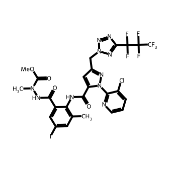 COC(=O)N(C)NC(=O)c1cc(I)cc(C)c1NC(=O)c1cc(Cn2nnc(C(F)(F)C(F)(F)C(F)(F)F)n2)nn1-c1ncccc1Cl